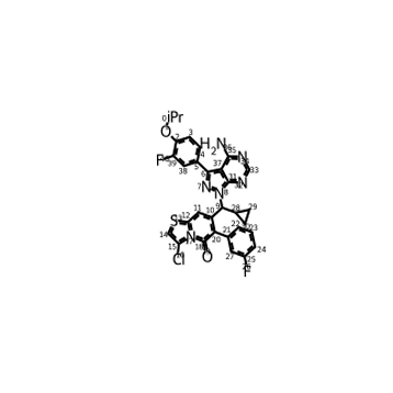 CC(C)Oc1ccc(-c2nn(C(c3cc4scc(Cl)n4c(=O)c3-c3cccc(F)c3)C3CC3)c3ncnc(N)c23)cc1F